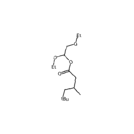 CCOC[C](OCC)OC(=O)CC(C)CC(C)(C)C